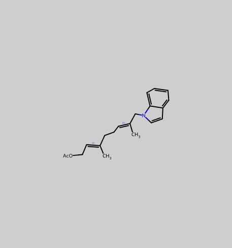 CC(=O)OC/C=C(\C)CC/C=C(\C)Cn1ccc2ccccc21